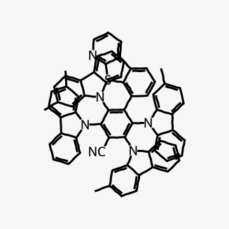 Cc1ccc2c3ccccc3n(-c3c(C#N)c(-n4c5ccccc5c5ccc(C)cc54)c(-n4c5ccccc5c5ccc(C)cc54)c(-c4cccc5c4sc4ncccc45)c3-n3c4ccccc4c4ccc(C)cc43)c2c1